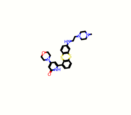 CN1CCN(CCNc2ccc3c(c2)Sc2cccc(-c4cc(N5CCOCC5)cc(=O)[nH]4)c2S3)CC1